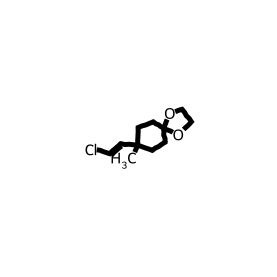 CC1(/C=C/Cl)CCC2(CC1)OCCO2